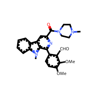 COc1ccc(-c2nc(C(=O)N3CCN(C)CC3)cc3c4ccccc4n(C)c23)c(C=O)c1OC